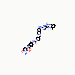 Cc1cccc(C)c1Nc1nn(C)c2nc(Nc3ccc4c(c3)CN(CC3CCN(C(=O)Nc5ccc6c(c5)CN(C5CCC(=O)NC5=O)C6=O)CC3)CC4)ncc12